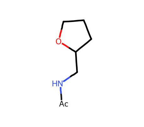 CC(=O)NCC1CCCO1